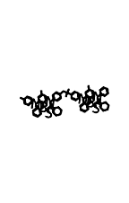 Cc1ccc(N2c3ccccc3B3c4sc5c(c4N(c4ccc(CC(C)(C)c6ccc(N7c8ccccc8B8c9sc%10c(c9N(c9ccccc9)c9cc(C)cc7c98)CCCC%10)cc6)cc4)c4cc(C)cc2c43)CCCC5)cc1